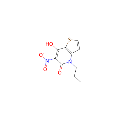 CCCn1c(=O)c([N+](=O)[O-])c(O)c2sccc21